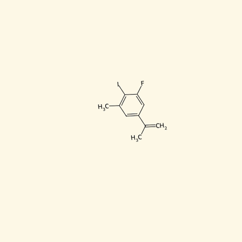 C=C(C)c1cc(C)c(I)c(F)c1